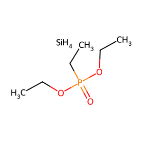 CCOP(=O)(CC)OCC.[SiH4]